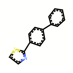 [c]1cnc(-c2ccc(-c3ccccc3)cc2)s1